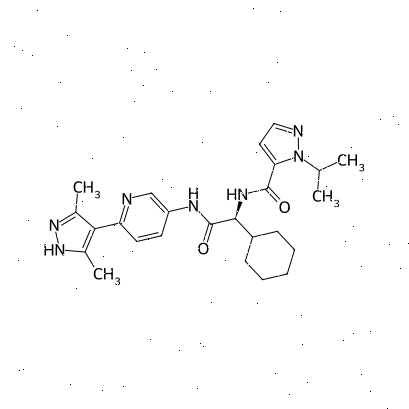 Cc1n[nH]c(C)c1-c1ccc(NC(=O)[C@@H](NC(=O)c2ccnn2C(C)C)C2CCCCC2)cn1